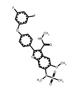 CNC(=O)c1c(-c2ccc(Oc3cc(F)cc(F)c3)cc2)oc2cc(N(C)S(C)(=O)=O)c(OC)cc12